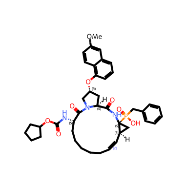 COc1ccc2c(O[C@@H]3C[C@H]4C(=O)N[C@]5(P(=O)(O)Cc6ccccc6)C[C@H]5/C=C\CCCCC[C@H](NC(=O)OC5CCCC5)C(=O)N4C3)cccc2c1